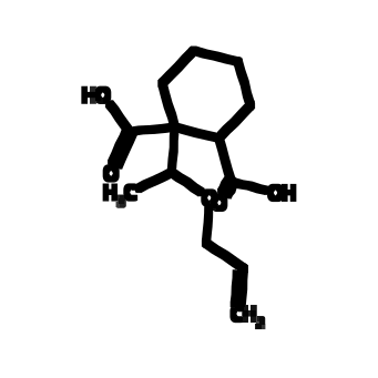 C=CCOC(C)C1(C(=O)O)CCCCC1C(=O)O